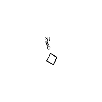 C1CCC1.O=P